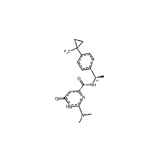 C[C@@H](NC(=O)c1cc(=O)[nH]c(N(C)C)n1)c1ccc(C2(C(F)(F)F)CC2)cc1